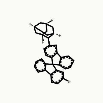 Brc1ccc2c(c1)C1(c3ccccc3-c3cc(C4[C@H]5C[C@@H]6C[C@@H](C[C@H]4C6)C5)ccc31)c1ccccc1-2